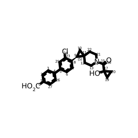 O=C(O)c1ccc(-c2ccc([C@H]3CC34CCN(C(=O)C3(O)CC3)CC4)c(Cl)c2)cc1